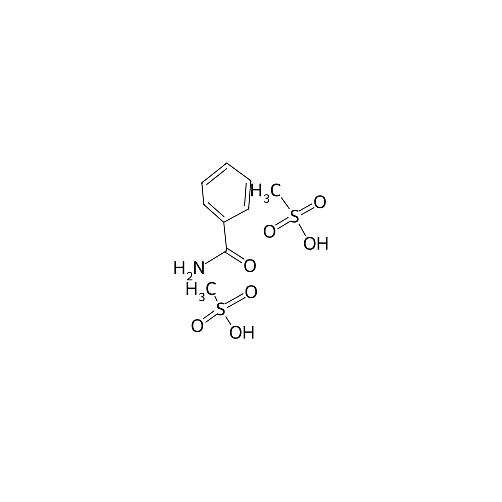 CS(=O)(=O)O.CS(=O)(=O)O.NC(=O)c1ccccc1